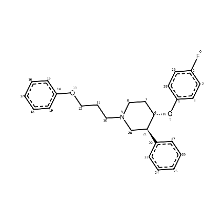 Fc1ccc(O[C@H]2CCN(CCCOc3ccccc3)C[C@@H]2c2ccccc2)cc1